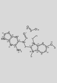 CCn1c(CN(C=O)c2nc3cc[nH]c3nc2N)[n+](C)c2ccc(OC)cc21.O=C[O-]